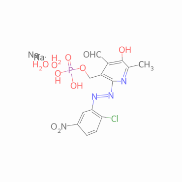 Cc1nc(N=Nc2cc([N+](=O)[O-])ccc2Cl)c(COP(=O)(O)O)c(C=O)c1O.O.O.[Na].[Na]